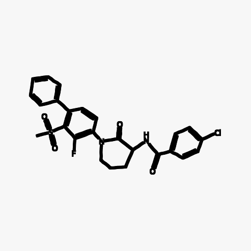 CS(=O)(=O)c1c(-c2ccccc2)ccc(N2CCCC(NC(=O)c3ccc(Cl)cc3)C2=O)c1F